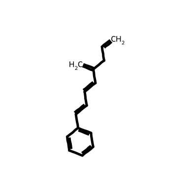 C=CCC(=C)C=CC=Cc1ccccc1